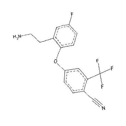 N#Cc1ccc(Oc2ccc(F)cc2CCN)cc1C(F)(F)F